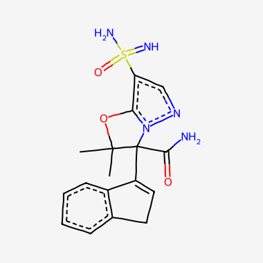 CC1(C)Oc2c(S(=N)(N)=O)cnn2C1(C(N)=O)C1=CCc2ccccc21